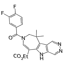 CCOC(=O)C1=CN(C(=O)c2ccc(F)c(F)c2)CC(C)(C)c2c1[nH]c1cnncc21